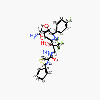 C[C@]1(C(N)=O)COc2c1cc([C@@](O)(CNC(=O)c1csc(-c3ccccc3)n1)C(F)(F)F)nc2-c1ccc(F)cc1